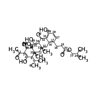 CC(=O)C1=C(O)C(C(C)C)[C@@]2(C)C[C@@]3(C)Cc4c(CCC(=O)OCC(C)C)ccc(O)c4C(=O)C3=C(O)[C@@]2(O)C1=O